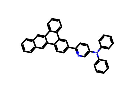 c1ccc(N(c2ccccc2)c2ccc(-c3ccc4c(c3)c3ccccc3c3cc5ccccc5cc43)nc2)cc1